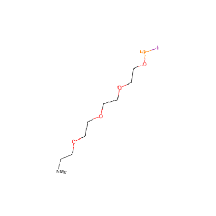 CNCCOCCOCCOCCOPI